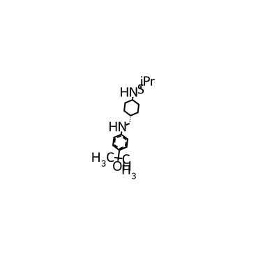 CC(C)SN[C@H]1CC[C@H](CNc2ccc(C(C)(C)O)cc2)CC1